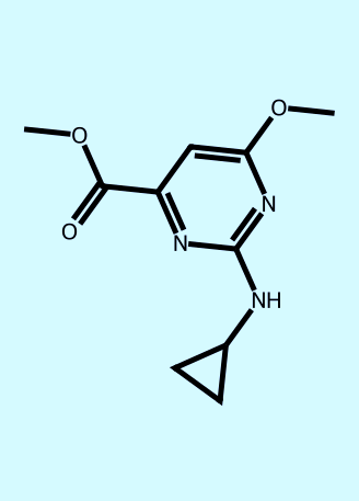 COC(=O)c1cc(OC)nc(NC2CC2)n1